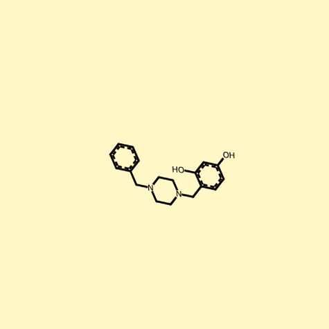 Oc1ccc(CN2CCN(Cc3ccccc3)CC2)c(O)c1